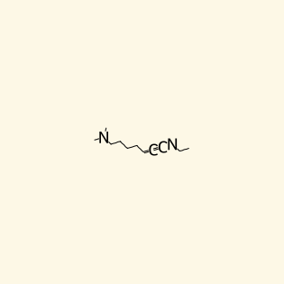 CCN=C=C=CCCCCN(C)C